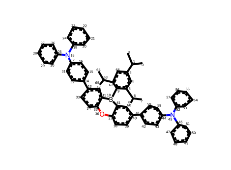 CC(C)c1cc(C(C)C)c(B2c3cc(-c4ccc(N(c5ccccc5)c5ccccc5)cc4)ccc3Oc3ccc(-c4ccc(N(c5ccccc5)c5ccccc5)cc4)cc32)c(C(C)C)c1